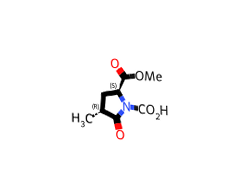 COC(=O)[C@@H]1C[C@@H](C)C(=O)N1C(=O)O